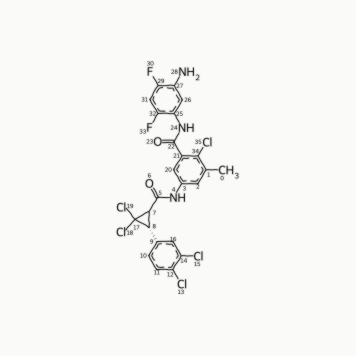 Cc1cc(NC(=O)C2[C@H](c3ccc(Cl)c(Cl)c3)C2(Cl)Cl)cc(C(=O)Nc2cc(N)c(F)cc2F)c1Cl